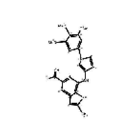 C=C(C)c1nc(Nc2cn(-c3cc(OC)c(OC)c(OC)c3)cn2)c2sc(C)cc2n1